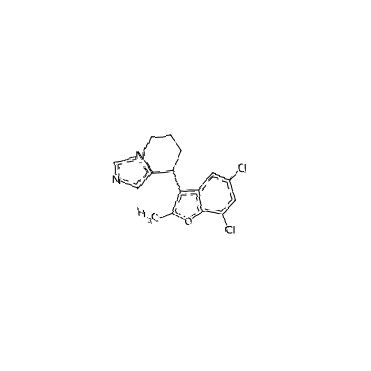 Cc1oc2c(Cl)cc(Cl)cc2c1C1CCCn2cncc21